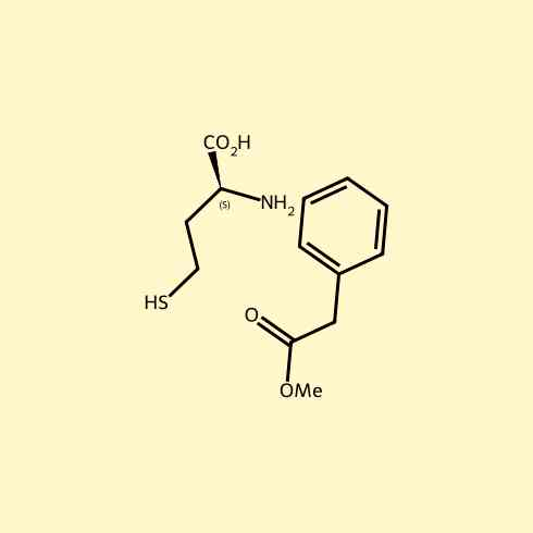 COC(=O)Cc1ccccc1.N[C@@H](CCS)C(=O)O